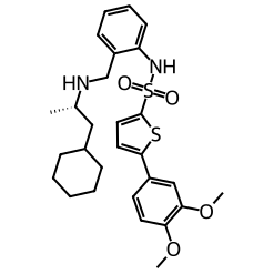 COc1ccc(-c2ccc(S(=O)(=O)Nc3ccccc3CN[C@@H](C)CC3CCCCC3)s2)cc1OC